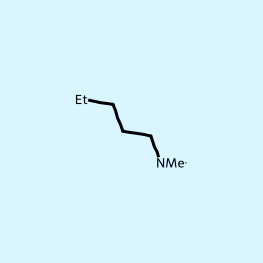 CCCCC[N]C